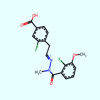 COc1cccc(C(=O)N(C)/N=C/Cc2ccc(C(=O)O)cc2F)c1F